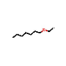 [CH2]CCCCCCOC[CH2]